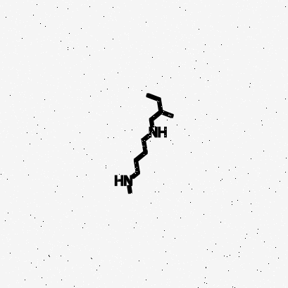 CCC(C)CNCCCCNC